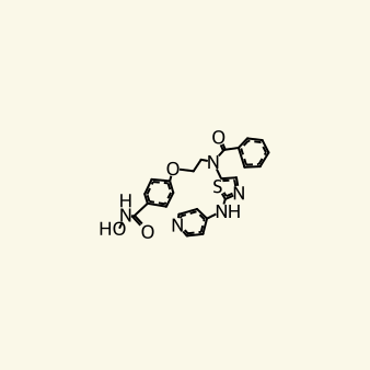 O=C(NO)c1ccc(OCCN(C(=O)c2ccccc2)c2cnc(Nc3ccncc3)s2)cc1